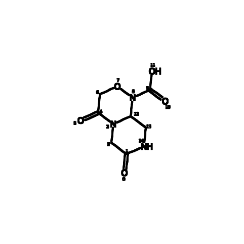 O=C1CN2C(=O)CON(C(=O)O)C2CN1